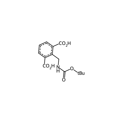 CC(C)(C)OC(=O)NCc1c(C(=O)O)cccc1C(=O)O